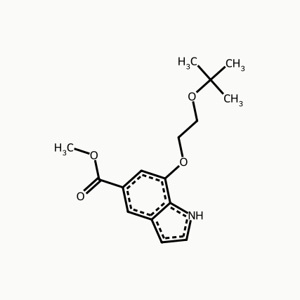 COC(=O)c1cc(OCCOC(C)(C)C)c2[nH]ccc2c1